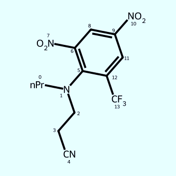 CCCN(CCC#N)c1c([N+](=O)[O-])cc([N+](=O)[O-])cc1C(F)(F)F